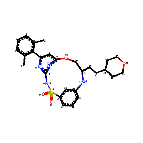 Cc1cccc(C)c1-c1cc2nc(n1)NS(=O)(=O)c1cccc(c1)NC(CCC1CCOCC1)CO2